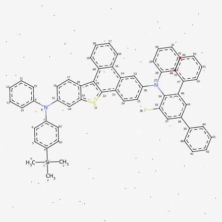 C[Si](C)(C)c1ccc(N(c2ccccc2)c2ccc3c(c2)sc2c4ccc(N(c5ccccc5)c5c(F)cc(-c6ccccc6)cc5-c5ccccc5)cc4c4ccccc4c32)cc1